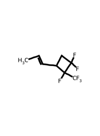 CC=CC1CC(F)(F)C1(F)C(F)(F)F